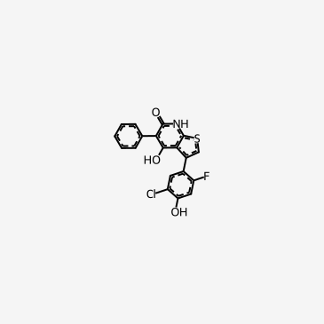 O=c1[nH]c2scc(-c3cc(Cl)c(O)cc3F)c2c(O)c1-c1ccccc1